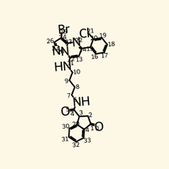 O=C1CC(C(=O)NCCCCNc2cc(-c3ccccc3Cl)nc3c(Br)cnn23)c2ccccc21